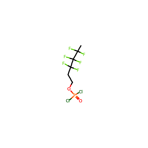 CC(F)(F)C(F)(F)C(F)(F)CCOP(=O)(Cl)Cl